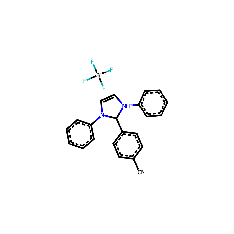 F[B-](F)(F)F.N#Cc1ccc(C2N(c3ccccc3)C=C[NH+]2c2ccccc2)cc1